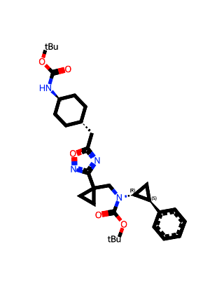 CC(C)(C)OC(=O)N[C@H]1CC[C@H](Cc2nc(C3(CN(C(=O)OC(C)(C)C)[C@@H]4C[C@H]4c4ccccc4)CC3)no2)CC1